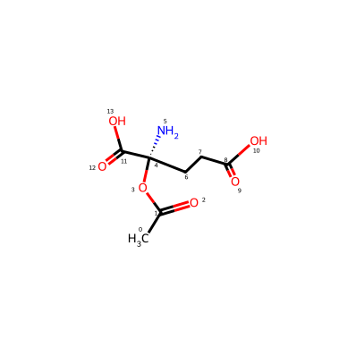 CC(=O)O[C@](N)(CCC(=O)O)C(=O)O